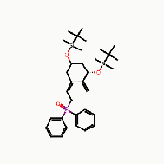 C=C1/C(=C\CP(=O)(c2ccccc2)c2ccccc2)CC(O[Si](C)(C)C(C)(C)C)C[C@@H]1O[Si](C)(C)C(C)(C)C